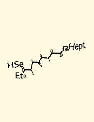 [CH2]CC([SeH])CCCCCCCCCCCCCC